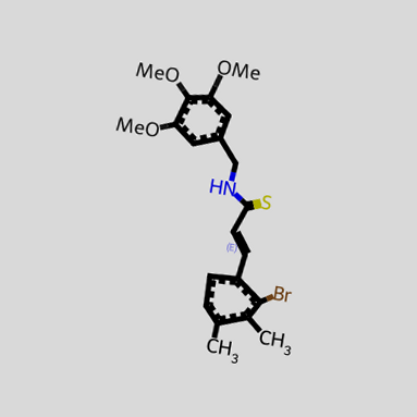 COc1cc(CNC(=S)/C=C/c2ccc(C)c(C)c2Br)cc(OC)c1OC